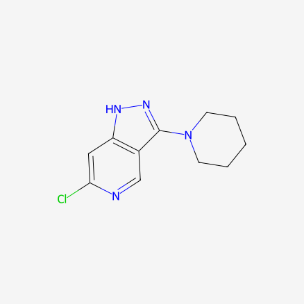 Clc1cc2[nH]nc(N3CCCCC3)c2cn1